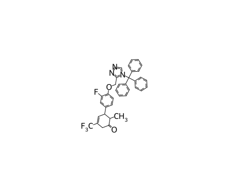 CC1C(=O)CC(C(F)(F)F)=CC1c1ccc(OCc2nncn2C(c2ccccc2)(c2ccccc2)c2ccccc2)c(F)c1